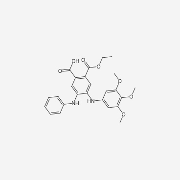 CCOC(=O)c1cc(Nc2cc(OC)c(OC)c(OC)c2)c(Nc2ccccc2)cc1C(=O)O